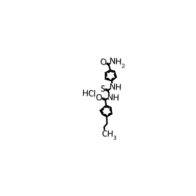 CCCc1ccc(C(=O)NC(=S)Nc2ccc(C(N)=O)cc2)cc1.Cl